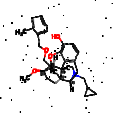 CO[C@]12CC[C@@]3(C[C@@H]1COCc1ccccc1C)[C@H]1Cc4ccc(O)c5c4[C@@]3(CCN1CC1CC1)[C@H]2O5